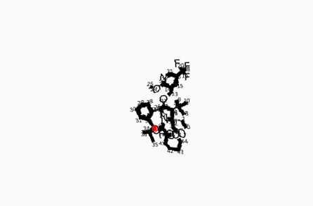 CC[C@@]1(C(=O)O)[C@@H](C(C)(C)C)[C@H](OCc2cc(C(F)(F)F)cnc2OC)[C@H](c2ccccc2CC(C)C)N1C(=O)C1CCCCO1